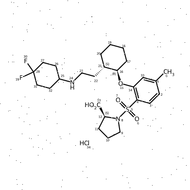 Cc1ccc(S(=O)(=O)N2CCC[C@H]2C(=O)O)c(O[C@@H]2CCCC[C@H]2CCNC2CCC(F)(F)CC2)c1.Cl